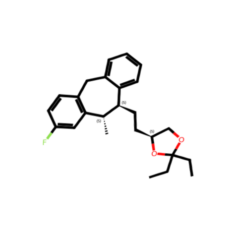 CCC1(CC)OC[C@H](CC[C@@H]2c3ccccc3Cc3ccc(F)cc3[C@H]2C)O1